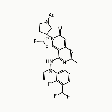 C=C[C@@H](Nc1nc(C)nc2cc(=O)n([C@@]3(C(F)F)CCN(C(C)=O)C3)cc12)c1cccc(C(F)F)c1F